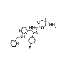 CC1(CN)COC(c2nc(-c3ccc(F)cc3)c(-c3ccnc(NCc4ccccn4)n3)[nH]2)OC1